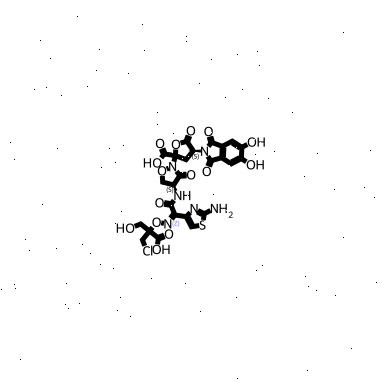 Nc1nc(/C(=N/OC(CO)(CCl)C(=O)O)C(=O)N[C@H]2CON(C3(C(=O)O)C[C@H](N4C(=O)c5cc(O)c(O)cc5C4=O)C(=O)O3)C2=O)cs1